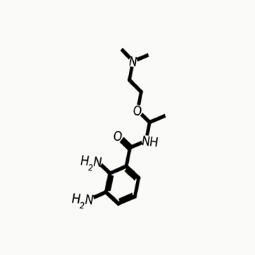 CC(NC(=O)c1cccc(N)c1N)OCCN(C)C